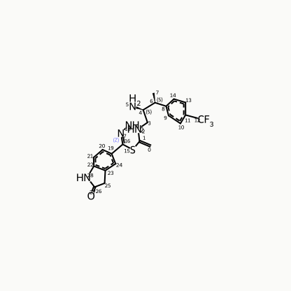 C=C(NC[C@@H](N)[C@@H](C)c1ccc(C(F)(F)F)cc1)S/C(=N\N)c1ccc2c(c1)CC(=O)N2